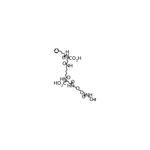 O=C(CC[C@H](NC(=O)CCCc1ccccc1)C(=O)O)NCCCCCC(=O)N[C@@H](CCC(=O)NCCOCCOCC(=O)NCCOC1CC1)C(=O)O